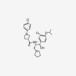 CC(C)Oc1ccc([C@@H](O)[C@@H](CN2CCCC2)NC(=O)[C@H]2CCN(c3ccc(Cl)cc3)C2)cc1Cl